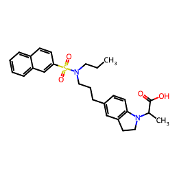 CCCN(CCCc1ccc2c(c1)CCN2C(C)C(=O)O)S(=O)(=O)c1ccc2ccccc2c1